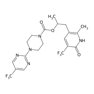 Cc1[nH]c(=O)c(C(F)(F)F)cc1CC(C)OC(=O)N1CCN(c2ncc(C(F)(F)F)cn2)CC1